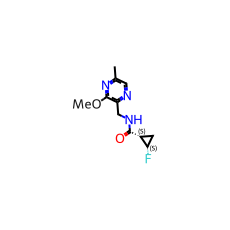 COc1nc(C)cnc1CNC(=O)[C@@H]1C[C@@H]1F